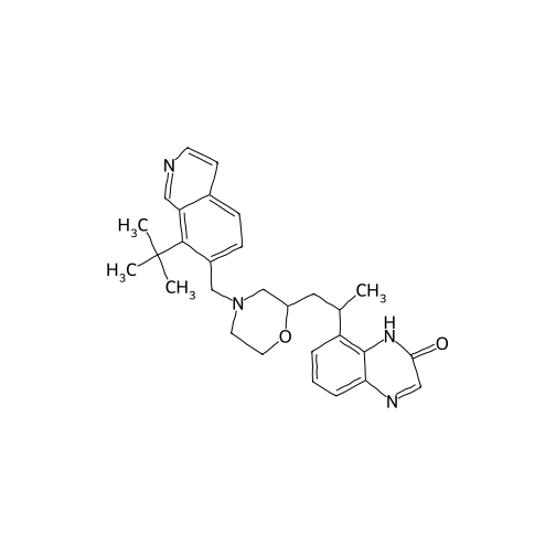 CC(CC1CN(Cc2ccc3ccncc3c2C(C)(C)C)CCO1)c1cccc2ncc(=O)[nH]c12